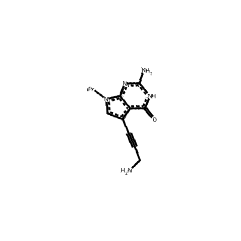 CC(C)n1cc(C#CCN)c2c(=O)[nH]c(N)nc21